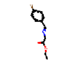 CCOC(=O)CN=Cc1ccc(Br)cc1